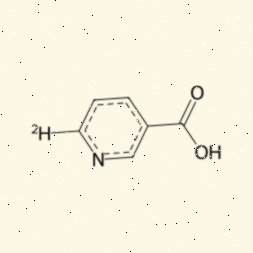 [2H]c1ccc(C(=O)O)cn1